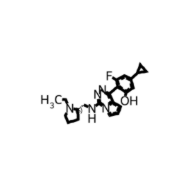 CCN1CCC[C@H]1CNc1nnc(-c2c(O)cc(C3CC3)cc2F)c2cccn12